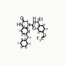 CCC(NC(=O)N1CC(=O)Nc2ccc(Cc3ccccc3)nc21)c1ccc(OC(F)(F)F)cc1